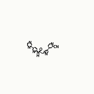 N#Cc1cc(-c2cnn(CC(=O)Nc3ccc(-c4cnccn4)cn3)c2)ccn1